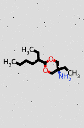 CCCCC(CC)C1OCC(N)(CC)CO1